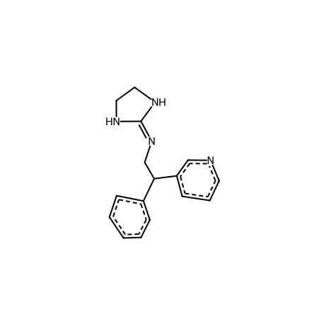 c1ccc(C(CN=C2NCCN2)c2cccnc2)cc1